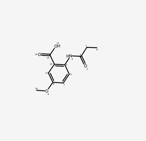 CCC(=O)Nc1ccc(OC)cc1C(=O)O